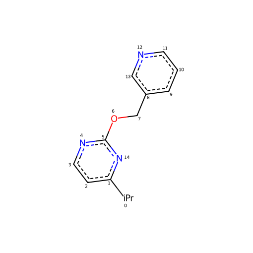 CC(C)c1ccnc(OCc2cccnc2)n1